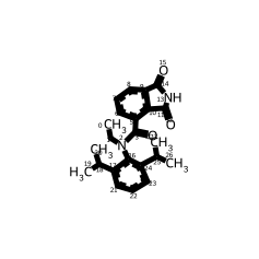 CCN(C(=O)c1cccc2c1C(=O)NC2=O)c1c(C(C)C)cccc1C(C)C